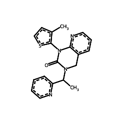 Cc1ccsc1N1C(=O)N(C(C)c2ccccn2)Cc2cccnc21